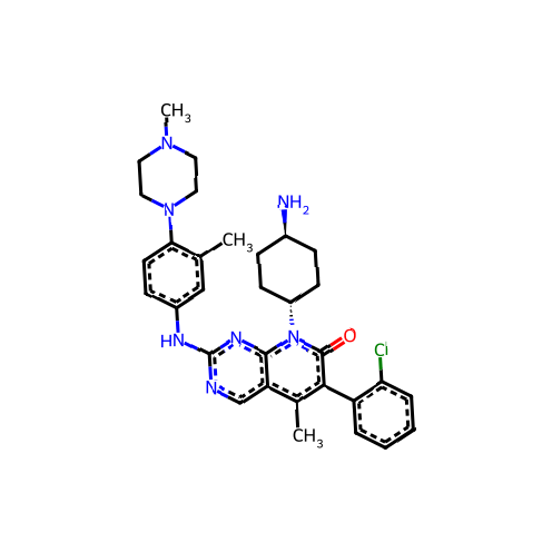 Cc1cc(Nc2ncc3c(C)c(-c4ccccc4Cl)c(=O)n([C@H]4CC[C@H](N)CC4)c3n2)ccc1N1CCN(C)CC1